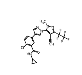 C#Cc1c(C(F)(F)C(F)(F)F)nn(C)c1-n1cc(-c2ccc(Cl)c(C(=O)NC3CC3)c2)cn1